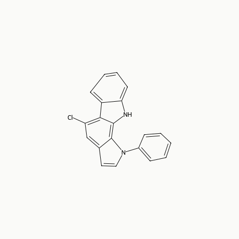 Clc1cc2ccn(-c3ccccc3)c2c2[nH]c3ccccc3c12